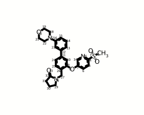 CS(=O)(=O)c1ccc(Oc2cc(-c3cccc(N4CCOCC4)c3)ccc2CN2CCCC2=O)cn1